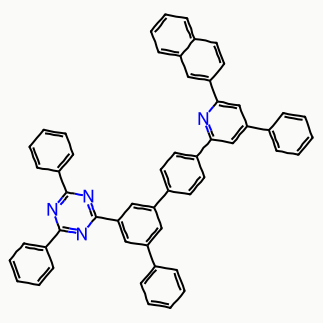 c1ccc(-c2cc(-c3ccc(-c4cc(-c5ccccc5)cc(-c5ccc6ccccc6c5)n4)cc3)cc(-c3nc(-c4ccccc4)nc(-c4ccccc4)n3)c2)cc1